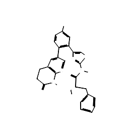 CN(C(=O)[C@@H](CC(=O)O)Cc1ccccc1)c1nc(-c2cc(F)ccc2-c2cnc3c(c2)CCC(=O)N3C)cs1